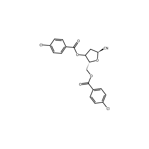 N#C[C@@H]1CC(OC(=O)c2ccc(Cl)cc2)[C@@H](COC(=O)c2ccc(Cl)cc2)O1